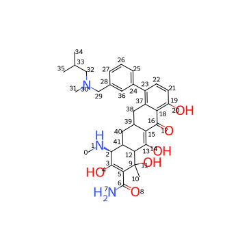 CN[C@@H]1C(O)=C(C(N)=O)C(C)(O)C2C(O)=C3C(=O)c4c(O)ccc(-c5cccc(CN(C)CC(C)C)c5)c4CC3CC21